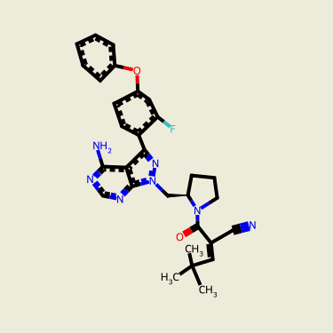 CC(C)(C)/C=C(/C#N)C(=O)N1CCC[C@@H]1Cn1nc(-c2ccc(Oc3ccccc3)cc2F)c2c(N)ncnc21